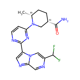 C[C@@H]1CC[C@H](C(N)=O)CN1c1ccnc(-c2cnc3cnc(C(F)F)cn23)n1